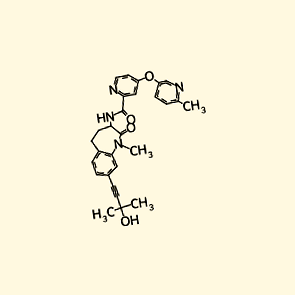 Cc1ccc(Oc2ccnc(C(=O)NC3CCc4ccc(C#CC(C)(C)O)cc4N(C)C3=O)c2)cn1